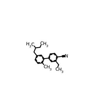 CCc1cc(-c2cc(CC(C)CC)ccc2C)ccc1C#N